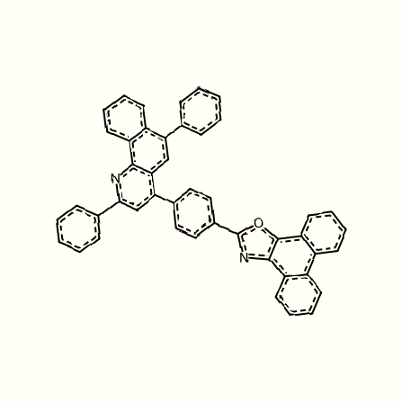 c1ccc(-c2cc(-c3ccc(-c4nc5c6ccccc6c6ccccc6c5o4)cc3)c3cc(-c4ccccc4)c4ccccc4c3n2)cc1